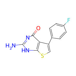 Nc1nc(=O)c2c(-c3ccc(F)cc3)csc2[nH]1